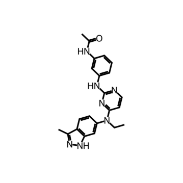 CCN(c1ccc2c(C)n[nH]c2c1)c1ccnc(Nc2cccc(NC(C)=O)c2)n1